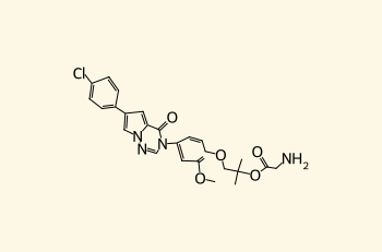 C=C(/C=C(\C=C/COCC(C)(C)OC(=O)CN)n1cnn2cc(-c3ccc(Cl)cc3)cc2c1=O)OC